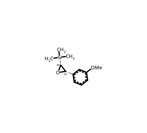 COc1cccc([C@@H]2O[C@@H]2[Si](C)(C)C)c1